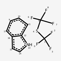 FC(F)(F)SC(F)(F)F.c1ccc2[nH]ccc2c1